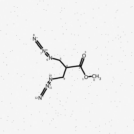 COC(=O)C(CN=[N+]=[N-])CN=[N+]=[N-]